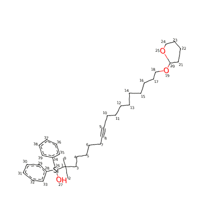 CC(C)(CCCCCC#CCCCCCCCCCOC1CCCCO1)[Si](O)(c1ccccc1)c1ccccc1